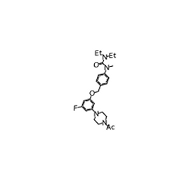 CCN(CC)C(=O)N(C)c1ccc(COc2cc(F)cc(N3CCN(C(C)=O)CC3)c2)cc1